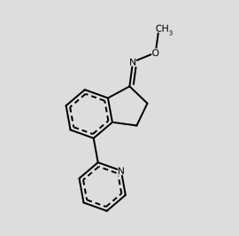 CON=C1CCc2c1cccc2-c1ccccn1